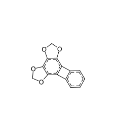 c1ccc2c(c1)-c1c3c(c4c(c1-2)OCO4)OCO3